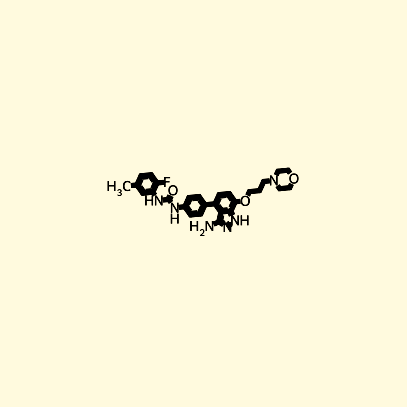 Cc1ccc(F)c(NC(=O)Nc2ccc(-c3ccc(OCCCN4CCOCC4)c4[nH]nc(N)c34)cc2)c1